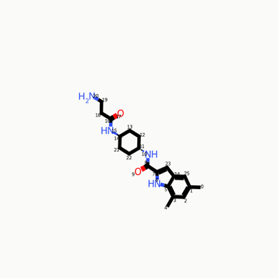 Cc1cc(C)c2[nH]c(C(=O)N[C@H]3CC[C@H](NC(=O)CCN)CC3)cc2c1